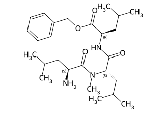 CC(C)C[C@H](N)C(=O)N(C)[C@@H](CC(C)C)C(=O)N[C@H](CC(C)C)C(=O)OCc1ccccc1